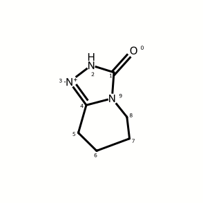 O=C1N[N+]=C2CCCCN12